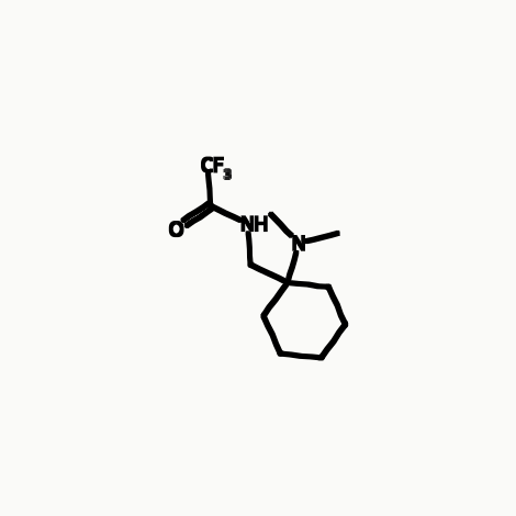 CN(C)C1(CNC(=O)C(F)(F)F)CCCCC1